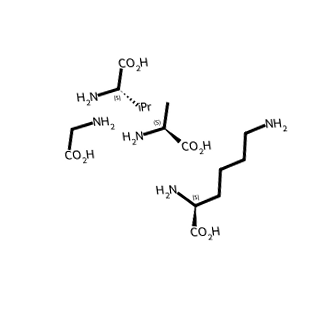 CC(C)[C@H](N)C(=O)O.C[C@H](N)C(=O)O.NCC(=O)O.NCCCC[C@H](N)C(=O)O